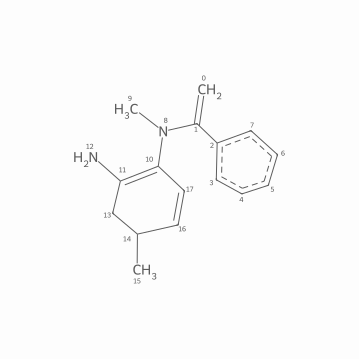 C=C(c1ccccc1)N(C)C1=C(N)CC(C)C=C1